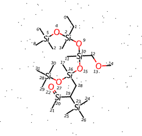 CC[Si](C)(O[Si](C)(C)C)O[Si](C)(COC)O[Si](C)(CC([Si](C)=O)[Si](C)(C)C)O[Si](C)(C)C